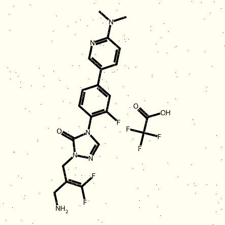 CN(C)c1ccc(-c2ccc(-n3cnn(CC(CN)=C(F)F)c3=O)c(F)c2)cn1.O=C(O)C(F)(F)F